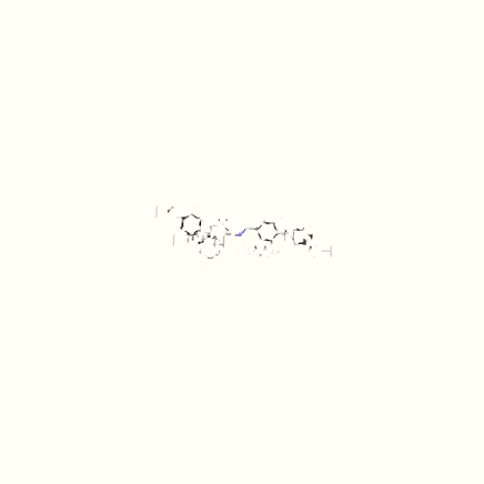 COc1cc(/C=C/C2=NC[C@]3(c4ccc(C)cc4)[C@@H](O)CCCN23)ccc1-n1cnc(C)c1